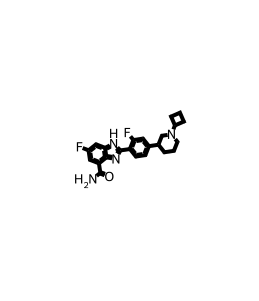 NC(=O)c1cc(F)cc2[nH]c(-c3ccc(C4CCCN(C5CCC5)C4)cc3F)nc12